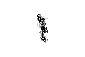 Cc1ccc(OCC(=O)N[C@@H]2C[C@@H]3O[C@H]2C[C@H]3NC(=O)[C@@H]2C[C@H](O)c3cc(Cl)ccc3O2)cc1F